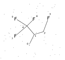 [CH2]C(CF)C(F)(F)F